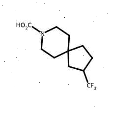 O=C(O)N1CCC2(CCC(C(F)(F)F)C2)CC1